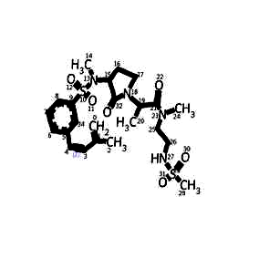 C=C(C)/C=C\c1cccc(S(=O)(=O)N(C)C2CCN(C(C)C(=O)N(C)CCNS(C)(=O)=O)C2=O)c1